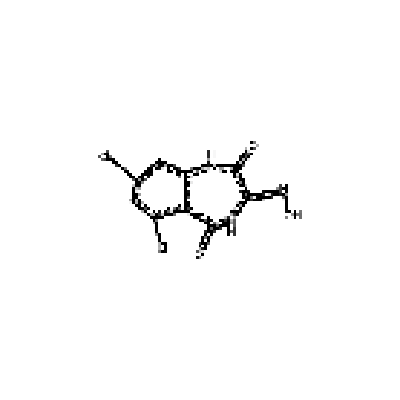 O=c1[nH]c2cc(Cl)cc(Cl)c2c(=O)[nH]c1=NO